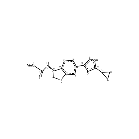 COC(=O)N[C@@H]1COc2cc(-c3noc(C4CC4)n3)ccc21